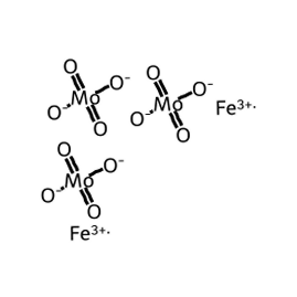 [Fe+3].[Fe+3].[O]=[Mo](=[O])([O-])[O-].[O]=[Mo](=[O])([O-])[O-].[O]=[Mo](=[O])([O-])[O-]